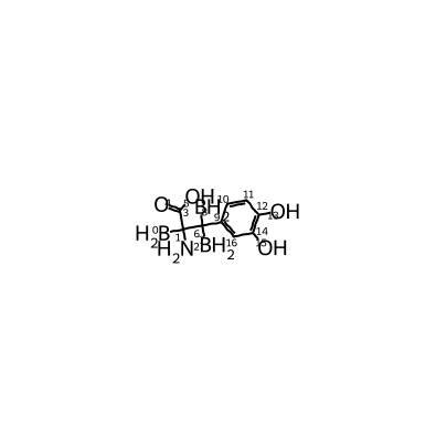 BC(N)(C(=O)O)C(B)(B)c1ccc(O)c(O)c1